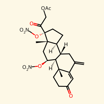 C=C1C[C@@H]2[C@H]([C@@H](O[N+](=O)[O-])C[C@@]3(C)[C@H]2CC[C@]3(O[N+](=O)[O-])C(=O)COC(C)=O)[C@@]2(C)CCC(=O)C=C12